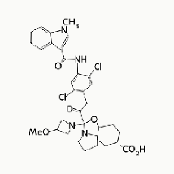 COC1CN(C(O[C@H]2CC[C@H](C(=O)O)CC2)(C(=O)Cc2cc(Cl)c(NC(=O)c3cn(C)c4ccccc34)cc2Cl)N2CCCC2)C1